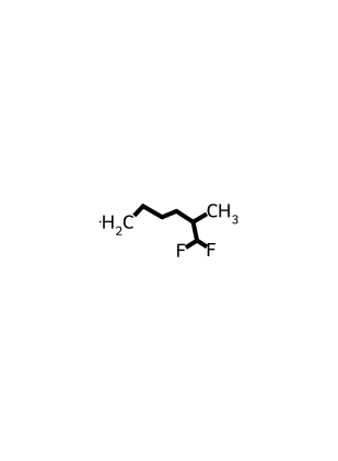 [CH2]CCCC(C)C(F)F